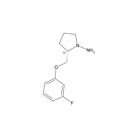 NN1CCC[C@H]1COc1cccc(F)c1